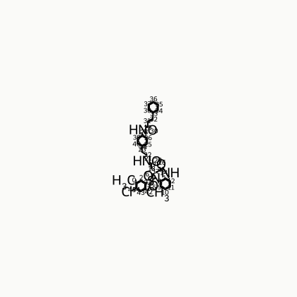 Cc1cc(S(=O)(=O)N2c3ccccc3NC(=O)[C@H]2CC(=O)NCCc2ccc(NC(=O)C=Cc3ccccc3)cc2)c(C)cc1Cl